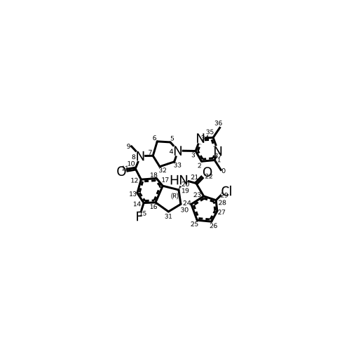 Cc1cc(N2CCC(N(C)C(=O)c3cc(F)c4c(c3)[C@H](NC(=O)c3ccccc3Cl)CC4)CC2)nc(C)n1